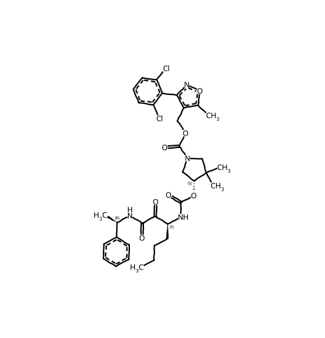 CCCC[C@H](NC(=O)O[C@@H]1CN(C(=O)OCc2c(-c3c(Cl)cccc3Cl)noc2C)CC1(C)C)C(=O)C(=O)N[C@H](C)c1ccccc1